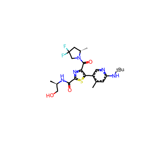 Cc1cc(NC(C)(C)C)ncc1-c1sc(C(=O)N[C@H](C)CO)nc1C(=O)N1CC(F)(F)C[C@@H]1C